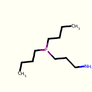 CCCCP(CCCC)CCCN